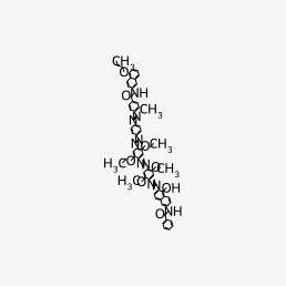 CCCOc1cccc2cc(NC(=O)c3ccc(N=Nc4ccc(N=Nc5cc(OCC)c(N=Nc6cc(OC)c(N=Nc7ccc8cc(NC(=O)c9ccccc9)ccc8c7O)cc6OC)cc5OCC)cc4)c(C)c3)ccc12